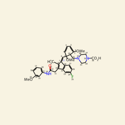 COC1=CC=CC(/C=C2/C(C)=C(CC(=O)Nc3cccc(OC)c3)c3cc(F)ccc32)(OC)C1CN1CCN(C(=O)O)CC1